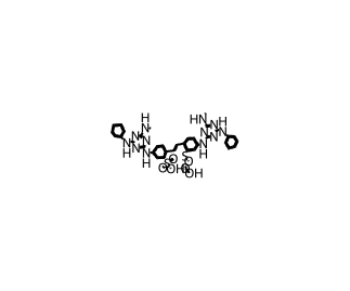 CNc1nc(Nc2ccccc2)nc(Nc2ccc(/C=C/c3ccc(Nc4nc(NC)nc(Nc5ccccc5)n4)cc3S(=O)(=O)O)c(SOOO)c2)n1